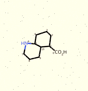 O=C(O)C1CCCC2NCCCC21